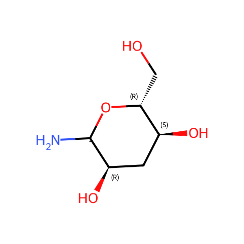 N[C]1O[C@H](CO)[C@@H](O)C[C@H]1O